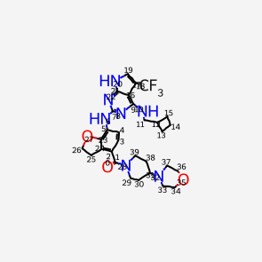 O=C(c1ccc(Nc2nc(NCC3CCC3)c3c(C(F)(F)F)c[nH]c3n2)c2c1CCO2)N1CCC(N2CCOCC2)CC1